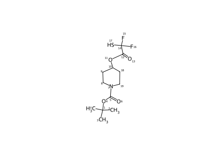 CC(C)(C)OC(=O)N1CCC(OC(=O)C(F)(F)S)CC1